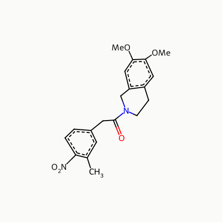 COc1cc2c(cc1OC)CN(C(=O)Cc1ccc([N+](=O)[O-])c(C)c1)CC2